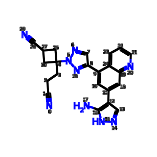 N#CCCC1(n2ncc(-c3cc(-c4cn[nH]c4N)cc4ncccc34)n2)CC(C#N)C1